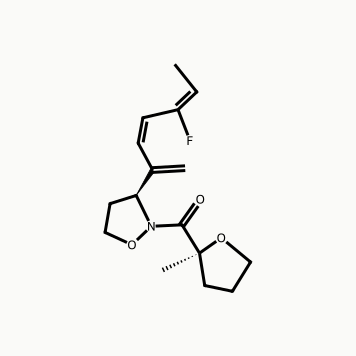 C=C(/C=C\C(F)=C/C)[C@@H]1CCON1C(=O)[C@]1(C)CCCO1